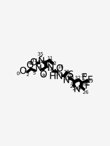 COCC(=O)Cn1c(=O)c2c(ccn2CC(=O)Nc2csc(-c3cnc(C)c(C(F)(F)F)c3)n2)n(C)c1=O